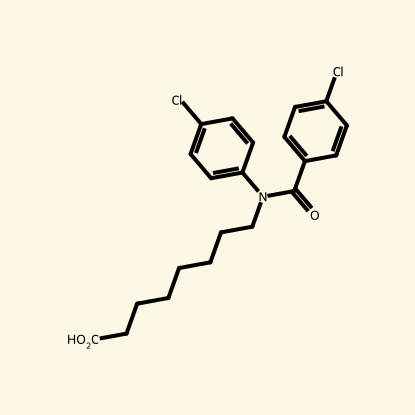 O=C(O)CCCCCCCN(C(=O)c1ccc(Cl)cc1)c1ccc(Cl)cc1